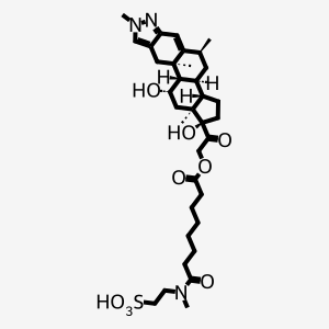 C[C@H]1C[C@@H]2[C@H]([C@@H](O)C[C@@]3(C)[C@H]2CC[C@]3(O)C(=O)COC(=O)CCCCCCC(=O)N(C)CCS(=O)(=O)O)[C@@]2(C)Cc3cn(C)nc3C=C12